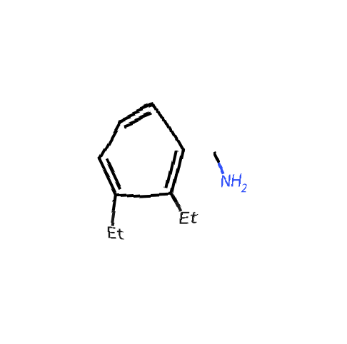 CCc1ccccc1CC.CN